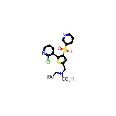 CC(C)(C)CN(Cc1cc(S(=O)(=O)c2cccnc2)c(-c2cccnc2Cl)s1)C(=O)O